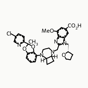 COc1cc(C(=O)O)cc2c1nc(CN1CCN(c3cccc4c3O[C@@](C)(c3ccc(Cl)cn3)O4)[C@H]3CC[C@H]31)n2C[C@@H]1CCCO1